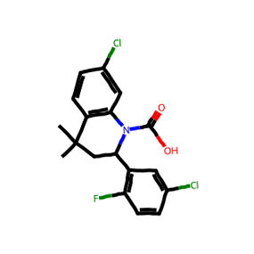 CC1(C)CC(c2cc(Cl)ccc2F)N(C(=O)O)c2cc(Cl)ccc21